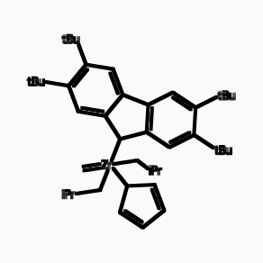 [CH2]=[Zr]([CH2]C(C)C)([CH2]C(C)C)([CH]1C=CC=C1)[CH]1c2cc(C(C)(C)C)c(C(C)(C)C)cc2-c2cc(C(C)(C)C)c(C(C)(C)C)cc21